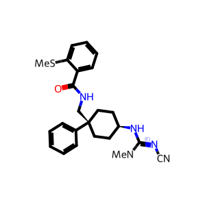 CN/C(=N\C#N)N[C@H]1CC[C@](CNC(=O)c2ccccc2SC)(c2ccccc2)CC1